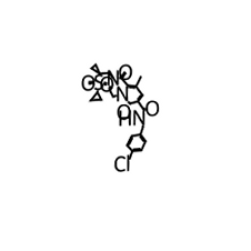 Cc1cc(C(=O)NCc2ccc(Cl)cc2)c(=O)n2c1C(=O)N(CC1(S(=O)(=O)C3CC3)CC1)CC2